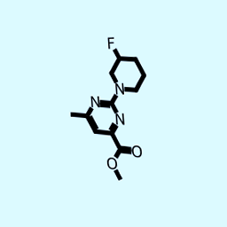 COC(=O)c1cc(C)nc(N2CCCC(F)C2)n1